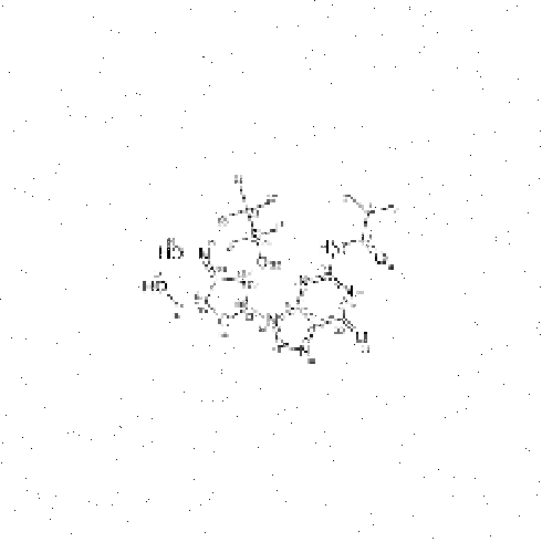 CC(C)C(=O)Nc1nc2c(ncn2[C@@H]2O[C@H](CO)C(=NO)[C@@H]2O[Si](C)(C)C(C)(C)C)c(=O)[nH]1